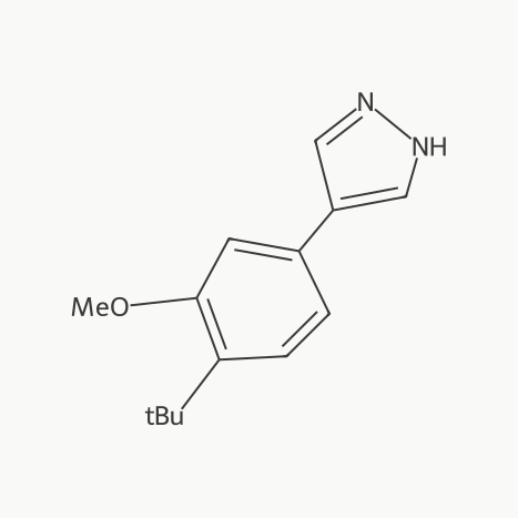 COc1cc(-c2cn[nH]c2)ccc1C(C)(C)C